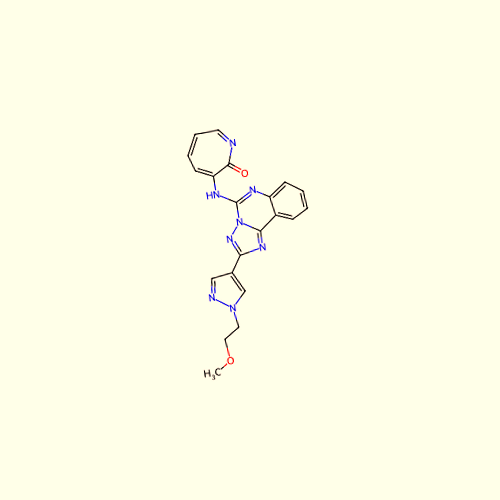 COCCn1cc(-c2nc3c4ccccc4nc(Nc4ccccnc4=O)n3n2)cn1